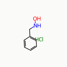 Cl.ONCc1ccccc1